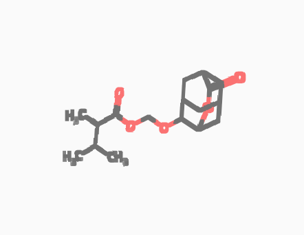 CC(C)C(C)C(=O)OCOC1C2CC3CC(C2)C(=O)OC1C3